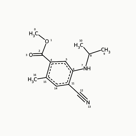 COC(=O)c1cc(NC(C)C)c(C#N)cc1C